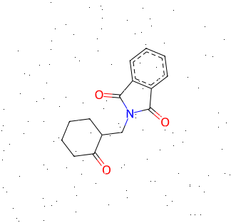 O=C1CCCCC1CN1C(=O)c2ccccc2C1=O